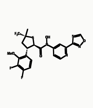 COc1c([C@@H]2C[C@](C)(C(F)(F)F)S[C@H]2C(=O)N(O)c2ccnc(-c3ncon3)c2)ccc(F)c1F